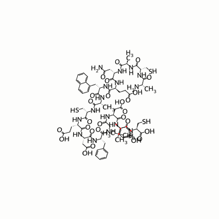 C[C@H](N)C(=O)N[C@@H](CS)C(=O)N[C@H](C)C(=O)N[C@@H](CC(N)=O)C(=O)N[C@@H](CCC(=O)O)C(=O)N[C@@H](Cc1cccc2ccccc12)C(=O)N[C@H](C)C(=O)N[C@@H](CS)C(=O)N[C@@H](CCC(=O)O)C(=O)N[C@@H](CC(=O)O)C(=O)N[C@@H](Cc1ccccc1)C(=O)N[C@@H](Cc1ccc(O)cc1)C(=O)N[C@@H](CC(=O)O)C(=O)N[C@H](C(=O)N[C@@H](CS)C(=O)O)C(C)(C)C